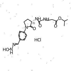 CC(C)OC(=O)CCNC(=O)N[C@H]1CCN(c2ccc(C=NNO)cc2)C1=O.Cl